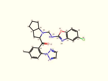 Cc1ccc(-n2nccn2)c(C(=O)C2CC3CCCC3N2CNc2nc3cc(Cl)ccc3o2)c1